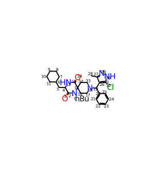 CCCCN1C(=O)C(CC2CCCCC2)NC(=O)C12CCN(C(c1ccccc1)c1c(C)n[nH]c1Cl)CC2